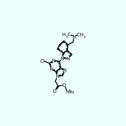 CCCCOC(=O)Cn1cnc2c(-n3ncc4c(CN(C)C)cccc43)nc(Cl)nc21